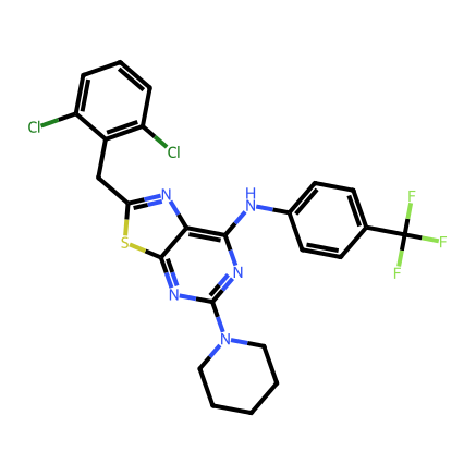 FC(F)(F)c1ccc(Nc2nc(N3CCCCC3)nc3sc(Cc4c(Cl)cccc4Cl)nc23)cc1